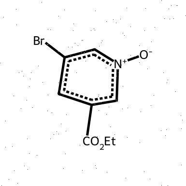 CCOC(=O)c1cc(Br)c[n+]([O-])c1